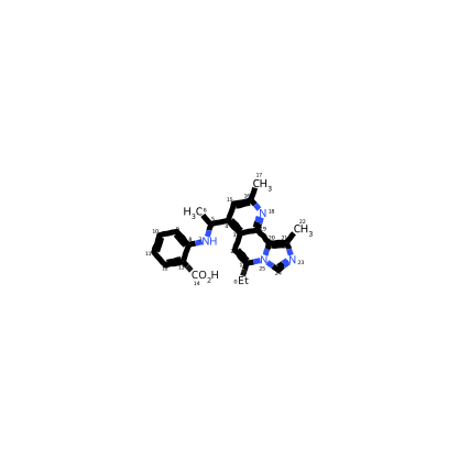 CCc1cc2c(C(C)Nc3ccccc3C(=O)O)cc(C)nc2c2c(C)ncn12